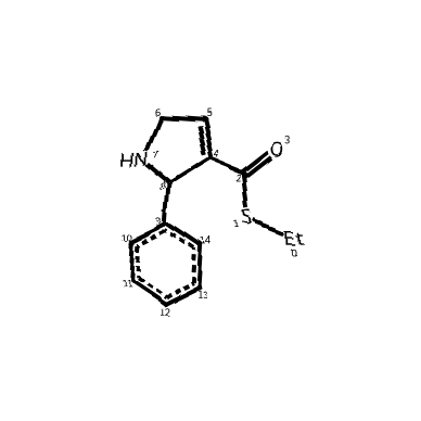 CCSC(=O)C1=CCNC1c1ccccc1